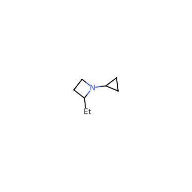 CCC1CCN1C1CC1